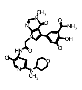 CN(c1cc(NC(=O)Cn2cc(-c3cc(Cl)c(O)c(C(N)=O)c3)c3c(=O)n(C)cnc32)c(Cl)cn1)C1CCOCC1